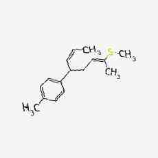 C/C=C\C(C/C=C(\C)SC)c1ccc(C)cc1